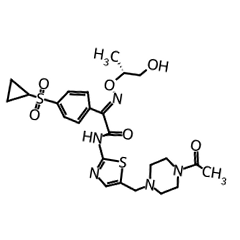 CC(=O)N1CCN(Cc2cnc(NC(=O)/C(=N/O[C@H](C)CO)c3ccc(S(=O)(=O)C4CC4)cc3)s2)CC1